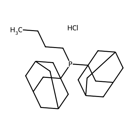 CCCCP(C12CC3CC(CC(C3)C1)C2)C12CC3CC(CC(C3)C1)C2.Cl